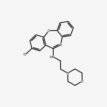 Clc1ccc2c(c1)C(NCCN1CCOCC1)=Nc1ccccc1O2